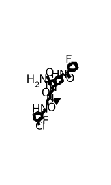 NC(=O)c1nn(CC(=O)N(CC(=O)NCc2cccc(Cl)c2F)C2CC2)c2ccc(NC(=O)c3cccc(F)c3)cc12